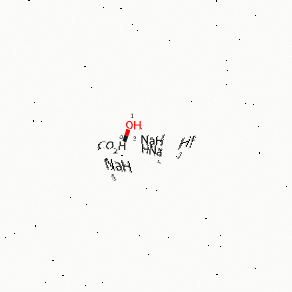 O=C(O)O.[Hf].[NaH].[NaH].[NaH]